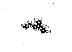 CC1=C(c2cc(F)c(O)c(F)c2)C(c2ccc(OCC(C)N3CCC(CF)C3)cc2)Oc2ccc(O)cc21